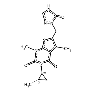 Cc1c(Cn2nc[nH]c2=O)sc2c1c(=O)n([C@H]1C[C@@H]1C)c(=O)n2C